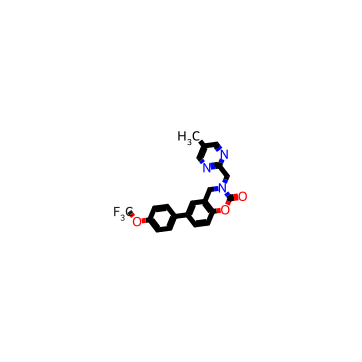 Cc1cnc(CN2Cc3cc(-c4ccc(OC(F)(F)F)cc4)ccc3OC2=O)nc1